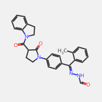 Cc1ccccc1/C(=N\NC=O)c1ccc(N2CCC(C(=O)N3CCc4ccccc43)C2=O)cc1